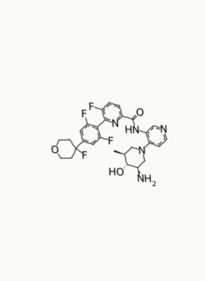 C[C@H]1CN(c2ccncc2NC(=O)c2ccc(F)c(-c3c(F)cc(C4(F)CCOCC4)cc3F)n2)C[C@@H](N)[C@@H]1O